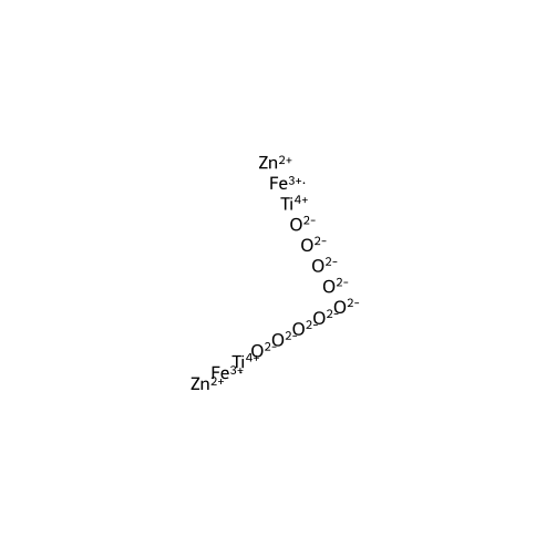 [Fe+3].[Fe+3].[O-2].[O-2].[O-2].[O-2].[O-2].[O-2].[O-2].[O-2].[O-2].[Ti+4].[Ti+4].[Zn+2].[Zn+2]